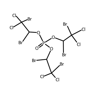 O=P(OC(Br)C(Cl)(Cl)Br)(OC(Br)C(Cl)(Cl)Br)OC(Br)C(Cl)(Cl)Br